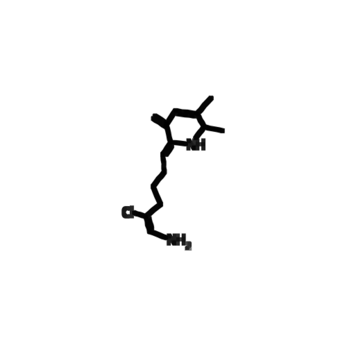 C=C1C=C(C)C(C)NC1=CCCC/C(Cl)=C\N